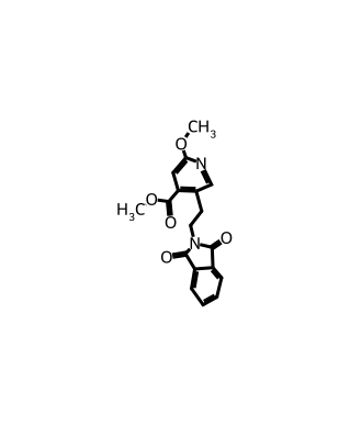 COC(=O)c1cc(OC)ncc1CCN1C(=O)c2ccccc2C1=O